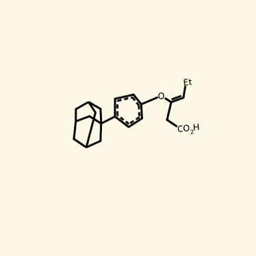 CC/C=C(/CC(=O)O)Oc1ccc(C23CC4CC(CC(C4)C2)C3)cc1